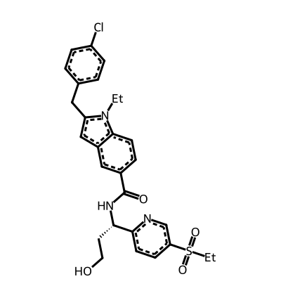 CCn1c(Cc2ccc(Cl)cc2)cc2cc(C(=O)N[C@@H](CCO)c3ccc(S(=O)(=O)CC)cn3)ccc21